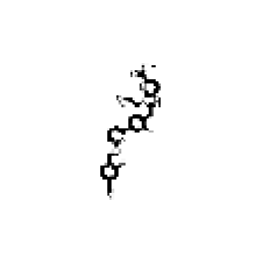 COCCn1c(Cc2ccc(-c3cccc(OCc4ccc(C#N)cc4F)n3)cc2F)nc2ccc(C(=O)O)nc21